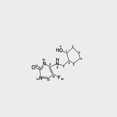 OC1CCCCC1CNc1nc(Cl)ncc1F